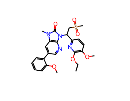 CCOc1nc(C(CS(C)(=O)=O)n2c(=O)n(C)c3cc(-c4ccccc4OC)cnc32)ccc1OC